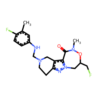 Cc1cc(NCN2CCc3nn4c(c3C2)C(=O)N(C)OC(CF)C4)ccc1F